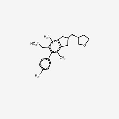 Cc1ccc(-c2c(C)c3c(c(C)c2CC(=O)O)CN(C[C@H]2CCOC2)C3)cc1